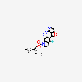 CC(C)COC(=O)N1CCc2c1ccc(-c1coc3ccnc(N)c13)c2F